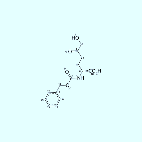 O=C(CO)CC[C@H](NC(=O)OCc1ccccc1)C(=O)O